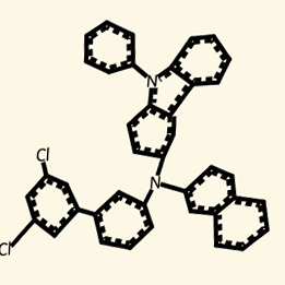 Clc1cc(Cl)cc(-c2cccc(N(c3ccc4ccccc4c3)c3ccc4c(c3)c3ccccc3n4-c3ccccc3)c2)c1